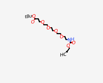 C#CCOC(=O)NCCOCCOCCOCCOCCC(=O)OC(C)(C)C